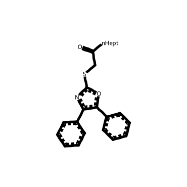 CCCCCCCC(=O)CSc1nc(-c2ccccc2)c(-c2ccccc2)o1